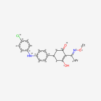 CCCC(=NOCC)C1=C(O)CC(c2ccc(Nc3ccc(Cl)cc3)cc2)CC1=O